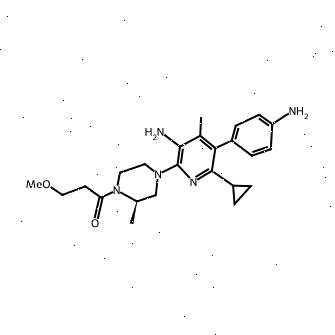 COCCC(=O)N1CCN(c2nc(C3CC3)c(-c3ccc(N)cc3)c(C)c2N)C[C@H]1C